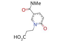 CNC(=O)c1ccc(=O)n(CCC(=O)O)c1